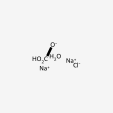 O.O=C([O-])O.[Cl-].[Na+].[Na+]